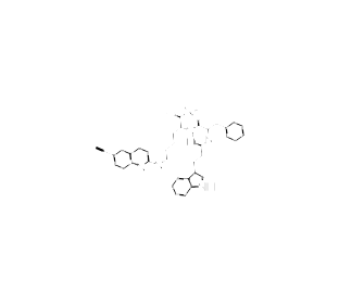 C#Cc1ccc2nc(NCCCCC(NC(=O)C(Cc3ccccc3)NC(=O)CCc3c[nH]c4ccccc34)C(N)=O)ccc2c1